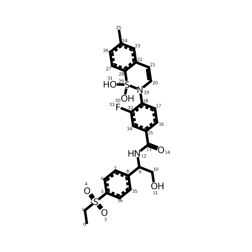 CCS(=O)(=O)c1ccc(C(CO)NC(=O)c2ccc(N3C=Cc4cc(C)ccc4S3(O)O)c(F)c2)cc1